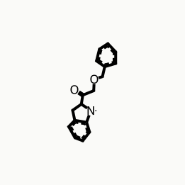 O=C(COCc1ccccc1)C1Cc2ccccc2[N]1